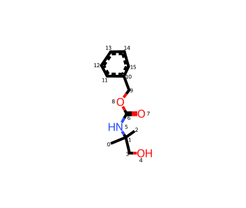 CC(C)(CO)NC(=O)OCc1ccccc1